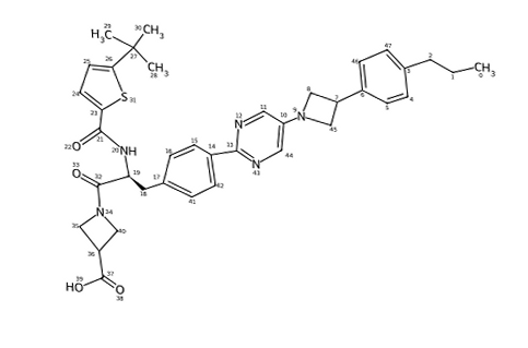 CCCc1ccc(C2CN(c3cnc(-c4ccc(C[C@H](NC(=O)c5ccc(C(C)(C)C)s5)C(=O)N5CC(C(=O)O)C5)cc4)nc3)C2)cc1